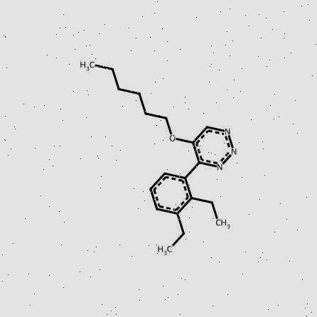 CCCCCCOc1cnnnc1-c1cccc(CC)c1CC